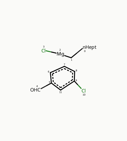 CCCCCCC[CH2][Mg][Cl].O=Cc1cccc(Cl)c1